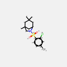 CC1(C)CC2CC(C)(CN2S(=O)(=O)c2ccc(C(F)(F)F)cc2Cl)C1